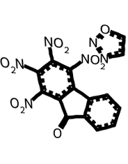 O=C1c2ccccc2-c2c1c([N+](=O)[O-])c([N+](=O)[O-])c([N+](=O)[O-])c2[N+](=O)[O-].c1conn1